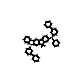 CC1(C)c2cc(N(c3ccccc3)c3cccc(-c4ccccc4)c3)ccc2-c2cc3c4ccccc4n(-c4cccc(-c5ccccc5)c4)c3cc21